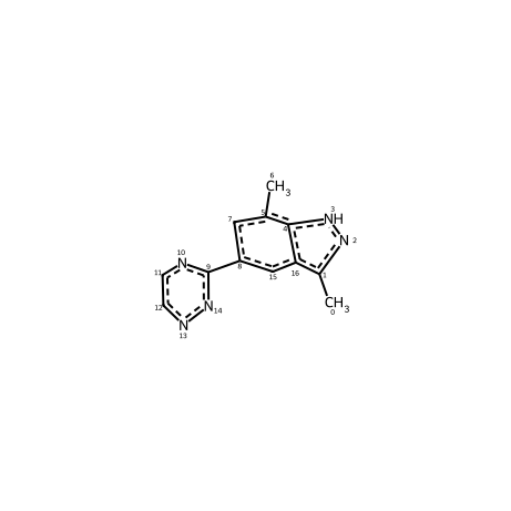 Cc1n[nH]c2c(C)cc(-c3nccnn3)cc12